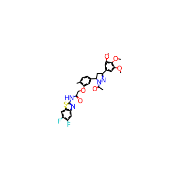 COc1cc(C2=NN(C(C)=O)C(c3ccc(C)c(OCC(=O)Nc4nc5cc(F)c(F)cc5s4)c3)C2)cc(OC)c1OC